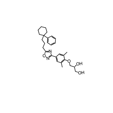 Cc1cc(-c2noc(CCCC3(c4ccccc4)CCCCC3)n2)cc(C)c1OC[C@@H](O)CO